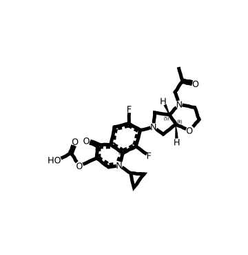 CC(=O)CN1CCO[C@@H]2CN(c3c(F)cc4c(=O)c(OC(=O)O)cn(C5CC5)c4c3F)C[C@@H]21